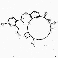 CCCc1cc(Cl)ccc1C1COc2ccc3cc2N(C1)CC1CCC1C(OC)CCCCC(C)[S+]([O-])NC3=O